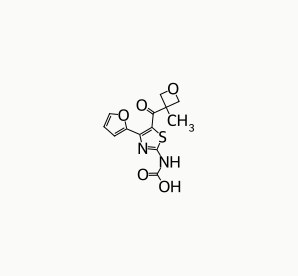 CC1(C(=O)c2sc(NC(=O)O)nc2-c2ccco2)COC1